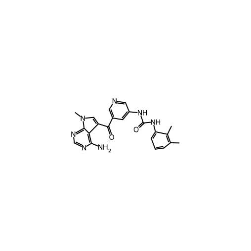 Cc1cccc(NC(=O)Nc2cncc(C(=O)c3cn(C)c4ncnc(N)c34)c2)c1C